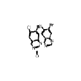 C=O.Clc1cc2cncnc2cc1Br.Clc1cc2cncnc2cc1Br